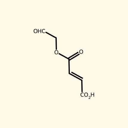 O=CCOC(=O)C=CC(=O)O